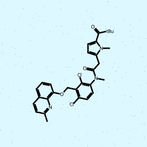 Cc1ccc2cccc(OCc3c(Cl)ccc(N(C)C(=O)Cc4ccc(C(=O)C(C)(C)C)n4C)c3Cl)c2n1